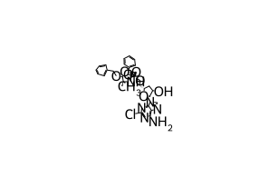 C[C@H](NP(=O)(OC[C@@H]1CC(O)[C@H](n2cnc3c(N)nc(Cl)nc32)O1)Oc1ccccc1)C(=O)OCc1ccccc1